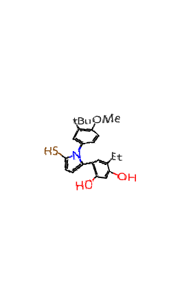 CCc1cc(-c2ccc(S)n2-c2ccc(OC)c(C(C)(C)C)c2)c(O)cc1O